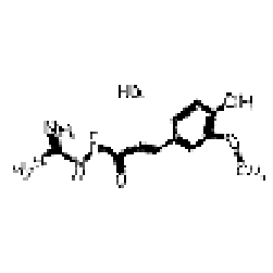 Br.COc1cc(/C=C/C(=O)NNC(=N)N)ccc1O